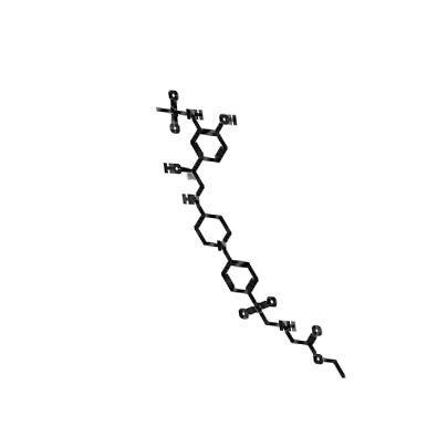 CCOC(=O)CNCS(=O)(=O)c1ccc(N2CCC(NC[C@@H](O)c3ccc(O)c(NS(C)(=O)=O)c3)CC2)cc1